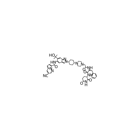 CC(C)(O)c1cc2nn(C3CCC(N4CCN(CC(=O)N[C@@H](Cc5ccccc5)C(=O)NC5CCC(=O)NC5=O)CC4)CC3)cc2cc1NC(=O)c1ccc2cc(C#N)cnn12